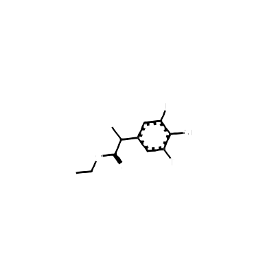 CCOC(=O)C(C)c1cc(F)c(N)c(F)c1